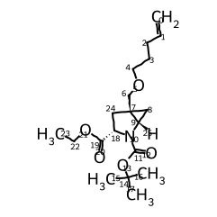 C=CCCCOC[C@@]12C[C@@H]1N(C(=O)OC(C)(C)C)[C@H](C(=O)OCC)C2